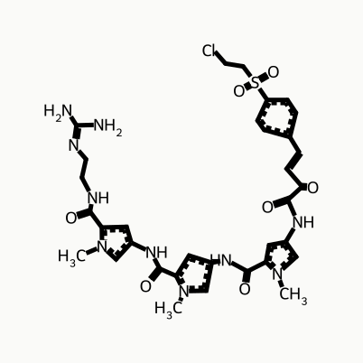 Cn1cc(NC(=O)c2cc(NC(=O)c3cc(NC(=O)C(=O)/C=C/c4ccc(S(=O)(=O)CCCl)cc4)cn3C)cn2C)cc1C(=O)NCCN=C(N)N